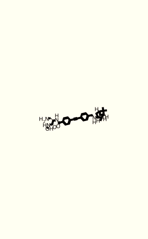 C[C@H]1[C@@H](NCc2ccc(C#Cc3ccc(C(=O)N[C@@H](CN)C(=O)NO)cc3)cc2)C[C@@H]2C[C@@H]1C2(C)C